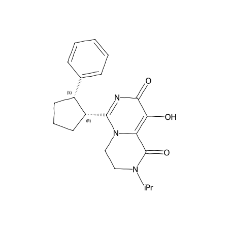 CC(C)N1CCn2c([C@@H]3CCC[C@@H]3c3ccccc3)nc(=O)c(O)c2C1=O